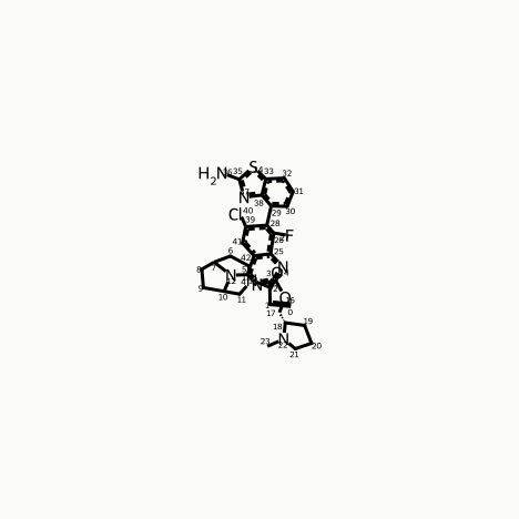 C=CC(=O)N1CCC2CCC(C1)N2c1nc(OC[C@@H]2CCCN2C)nc2c(F)c(-c3cccc4sc(N)nc34)c(Cl)cc12